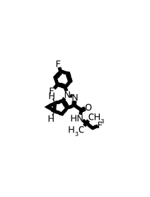 CC(C)(CF)NC(=O)c1nn(-c2ccc(F)cc2F)c2c1C[C@H]1C[C@@H]21